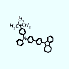 CC(C)(C)c1ccc(N(C2=C=C=CC=C2)c2ccc(-c3ccc(C4c5ccccc5C5CCCCCC54)cc3)cc2)cc1